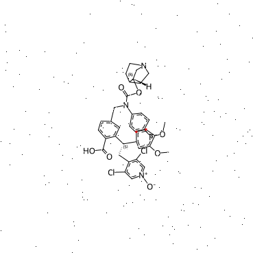 COc1ccc([C@H](Cc2c(Cl)c[n+]([O-])cc2Cl)c2cc(CN(C(=O)O[C@H]3CN4CCC3CC4)c3ccc(F)cc3)ccc2C(=O)O)cc1OC